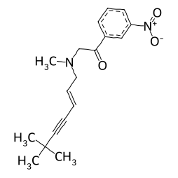 CN(C/C=C/C#CC(C)(C)C)CC(=O)c1cccc([N+](=O)[O-])c1